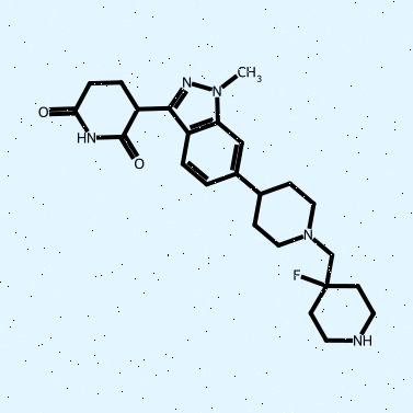 Cn1nc(C2CCC(=O)NC2=O)c2ccc(C3CCN(CC4(F)CCNCC4)CC3)cc21